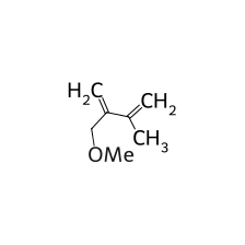 C=C(C)C(=C)COC